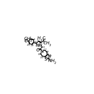 COc1ccc(-c2cc(C(C)C)n(CC(=O)N3CCc4nc(N)sc4CC3)n2)cc1